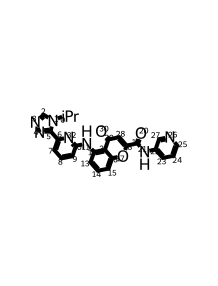 CC(C)n1cnnc1-c1cccc(Nc2cccc3oc(C(=O)Nc4cccnc4)cc(=O)c23)n1